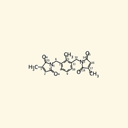 CC1=CC(=O)N(Cc2cccc(CN3C(=O)C=C(C)C3=O)c2C)C1=O